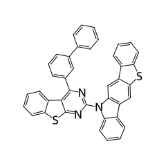 c1ccc(-c2cccc(-c3nc(-n4c5ccccc5c5cc6sc7ccccc7c6cc54)nc4sc5ccccc5c34)c2)cc1